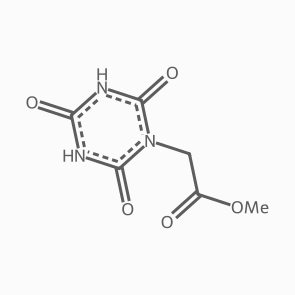 COC(=O)Cn1c(=O)[nH]c(=O)[nH]c1=O